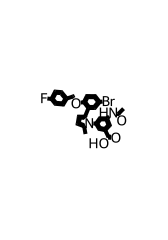 CC(=O)Nc1cc(C(=O)O)cc(-n2c(C)ccc2-c2cc(Br)ccc2OCc2ccc(F)cc2)c1